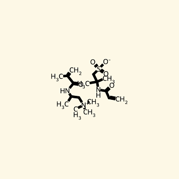 C=C(C)C(=O)NC(C)C[N+](C)(C)C.C=CC(=O)NC(C)(C)CS(=O)(=O)[O-]